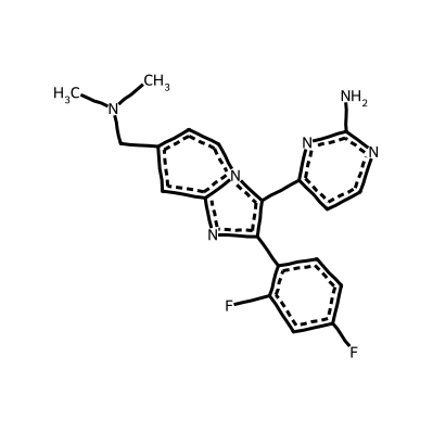 CN(C)Cc1ccn2c(-c3ccnc(N)n3)c(-c3ccc(F)cc3F)nc2c1